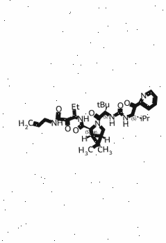 C=CCNC(=O)C(=O)C(CC)NC(=O)[C@@H]1[C@@H]2[C@H](CN1C(=O)[C@@H](NC(=O)N[C@H](C(=O)c1ccccn1)C(C)C)C(C)(C)C)C2(C)C